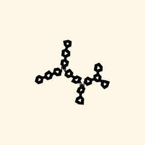 c1ccc(-c2ccc(-c3ccc(N(c4ccc(-c5ccc(-c6ccccc6)cc5)cc4)c4ccc(-c5ccc(N(c6ccc(-c7ccccc7)cc6)c6ccc(-c7cc(-c8ccccc8)cc(-c8ccccc8)c7)cc6)cc5)cc4)cc3)cc2)cc1